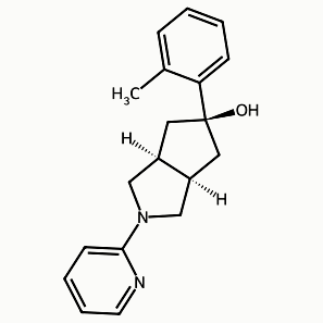 Cc1ccccc1[C@]1(O)C[C@H]2CN(c3ccccn3)C[C@H]2C1